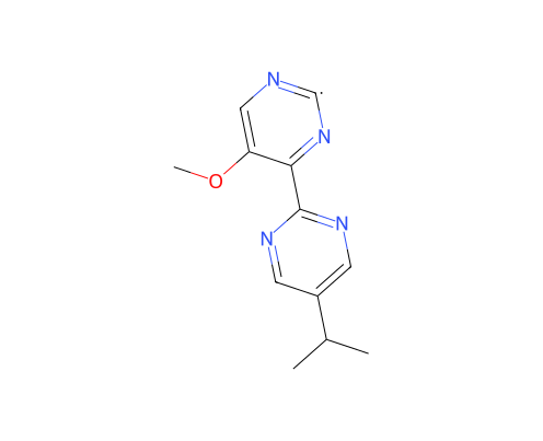 COc1cn[c]nc1-c1ncc(C(C)C)cn1